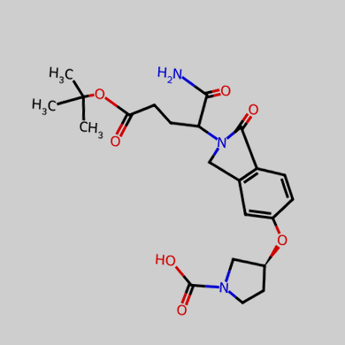 CC(C)(C)OC(=O)CCC(C(N)=O)N1Cc2cc(O[C@H]3CCN(C(=O)O)C3)ccc2C1=O